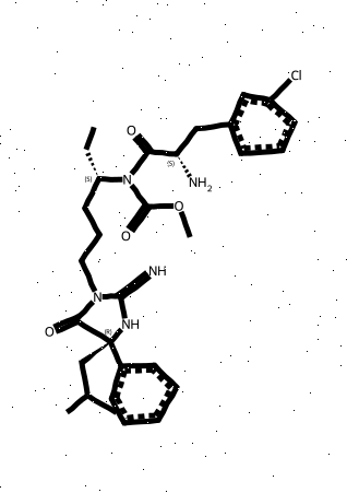 CC[C@@H](CCCN1C(=N)N[C@](CC(C)C)(c2ccccc2)C1=O)N(C(=O)OC)C(=O)[C@@H](N)Cc1cccc(Cl)c1